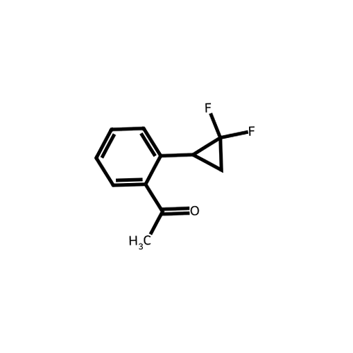 CC(=O)c1ccccc1C1CC1(F)F